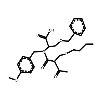 CCCCCCC(C(C)=O)C(=O)N(Cc1ccc(OC)cc1)C(COCc1ccccc1)C(=O)O